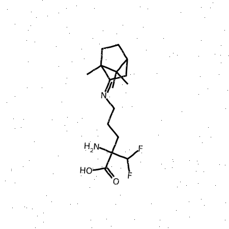 CC12CCC(C/C1=N\CCCC(N)(C(=O)O)C(F)F)C2(C)C